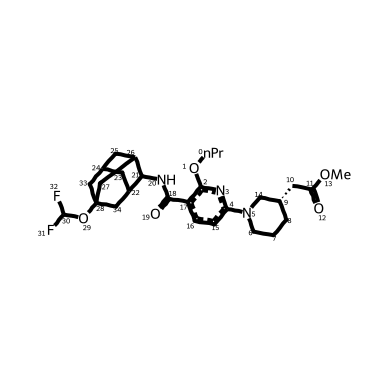 CCCOc1nc(N2CCC[C@@H](CC(=O)OC)C2)ccc1C(=O)NC1C2CC3CC1CC(OC(F)F)(C3)C2